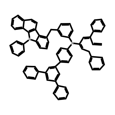 C=C/C(=C\C(=C/Cc1ccccc1)N(c1ccc(-c2cc(-c3ccccc3)cc(-c3ccccc3)c2)cc1)c1cccc(Cc2cccc3c2c2ccc4ccccc4c2n3-c2ccccc2)c1)c1ccccc1